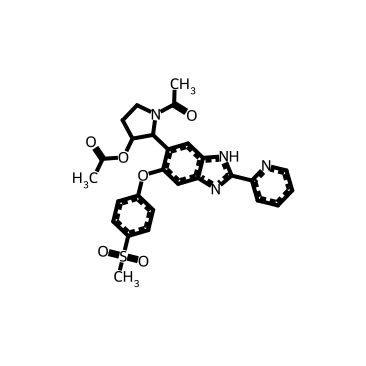 CC(=O)OC1CCN(C(C)=O)C1c1cc2[nH]c(-c3ccccn3)nc2cc1Oc1ccc(S(C)(=O)=O)cc1